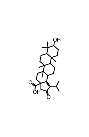 CC(C)C1=C2C3CCC4C5(C)CCC(O)C(C)(C)C5CCC4(C)C3(C)CCC2(C(=O)O)CC1=O